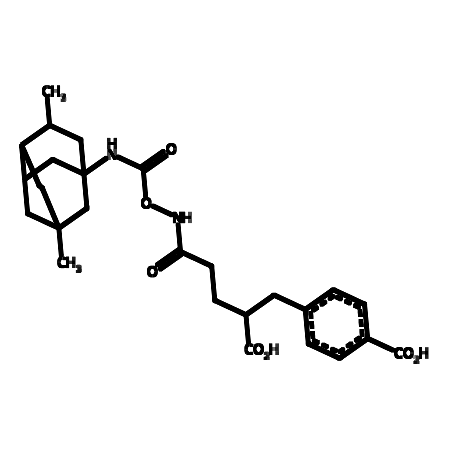 CC1CC2(NC(=O)ONC(=O)CCC(Cc3ccc(C(=O)O)cc3)C(=O)O)CC3CC(C)(CCC13)C2